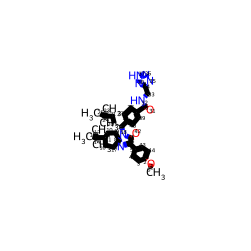 COc1ccc(C2=NC3(CCC(C(C)(C)C)CC3)N([C@H](CCC(C)(C)C)c3ccc(C(=O)NCc4nn[nH]n4)cc3)C2=O)cc1